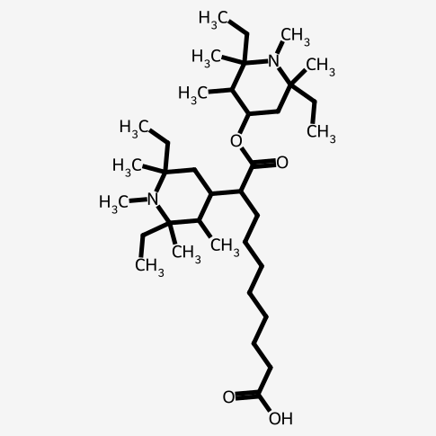 CCC1(C)CC(OC(=O)C(CCCCCCCC(=O)O)C2CC(C)(CC)N(C)C(C)(CC)C2C)C(C)C(C)(CC)N1C